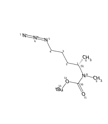 C[C@@H](CCCN=[N+]=[N-])N(C)C(=O)OC(C)(C)C